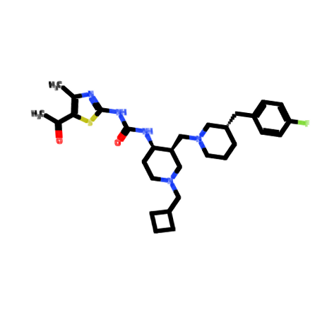 CC(=O)c1sc(NC(=O)N[C@@H]2CCN(CC3CCC3)C[C@@H]2CN2CCC[C@@H](Cc3ccc(F)cc3)C2)nc1C